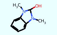 CN1c2ccccc2N(C)C1O